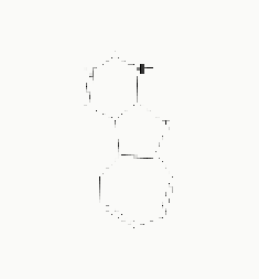 [CH]1N=CC2C3=C(C=CC=CC3)SC2N1